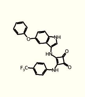 O=c1c(Nc2ccc(C(F)(F)F)cc2)c(Nc2c[nH]c3ccc(Oc4ccccc4)cc23)c1=O